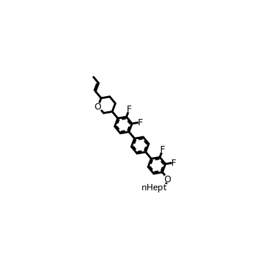 C/C=C/C1CCC(c2ccc(-c3ccc(-c4ccc(OCCCCCCC)c(F)c4F)cc3)c(F)c2F)CO1